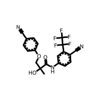 CC(O)(COc1ccc(C#N)cc1)C(=O)Nc1ccc(C#N)c(C(F)(F)C(F)(F)F)c1